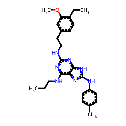 CCCNc1nc(NCCc2ccc(CC)c(OC)c2)nc2[nH]c(Nc3ccc(C)cc3)nc12